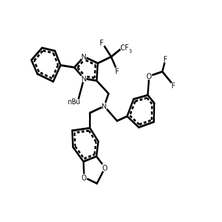 CCCCn1c(-c2ccccc2)nc(C(F)(F)C(F)(F)F)c1CN(Cc1cccc(OC(F)F)c1)Cc1ccc2c(c1)OCO2